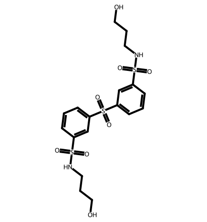 O=S(=O)(NCCCO)c1cccc(S(=O)(=O)c2cccc(S(=O)(=O)NCCCO)c2)c1